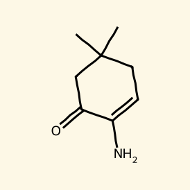 CC1(C)CC=C(N)C(=O)C1